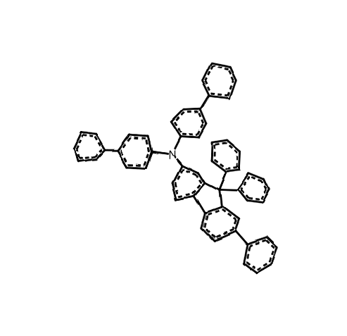 c1ccc(-c2ccc(N(c3ccc(-c4ccccc4)cc3)c3ccc4c(c3)C(c3ccccc3)(c3ccccc3)c3cc(-c5ccccc5)ccc3-4)cc2)cc1